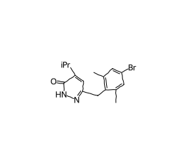 Cc1cc(Br)cc(C)c1Cc1cc(C(C)C)c(=O)[nH]n1